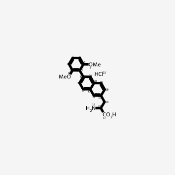 COc1cccc(OC)c1-c1ccc2cc(CC(N)C(=O)O)ccc2c1.Cl